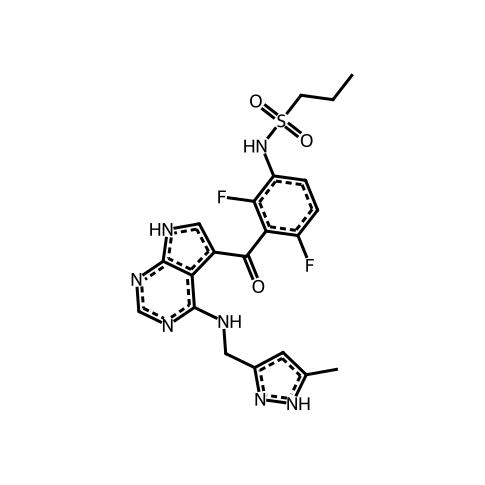 CCCS(=O)(=O)Nc1ccc(F)c(C(=O)c2c[nH]c3ncnc(NCc4cc(C)[nH]n4)c23)c1F